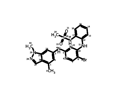 Cc1cc(Nc2ncc(Br)c(Nc3ccccc3NS(C)(=O)=O)n2)cc2c1cnn2C